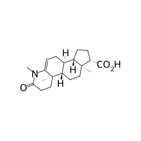 CN1C(=O)CC[C@@]2(C)C1=CC[C@H]1[C@@H]3CC[C@H](C(=O)O)[C@@]3(C)CC[C@@H]12